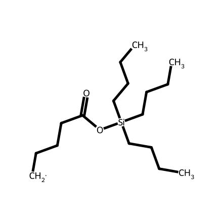 [CH2]CCCC(=O)O[Si](CCCC)(CCCC)CCCC